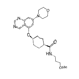 COCCCNC(=O)[C@H]1CC[C@@H](Oc2cc(N3CCOCC3)cc3ncncc23)CC1